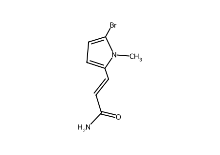 Cn1c(Br)ccc1/C=C/C(N)=O